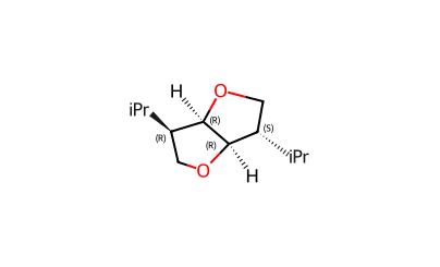 CC(C)[C@H]1CO[C@H]2[C@@H]1OC[C@H]2C(C)C